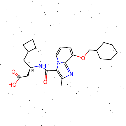 Cc1nc2c(OCC3CCCCC3)cccn2c1C(=O)N[C@@H](CC(=O)O)CC1CCC1